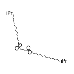 CC(C)CCCCCCCCCCCCCCOC(=O)CCCC(=O)OCCCCCCCCCCCCCCC(C)C